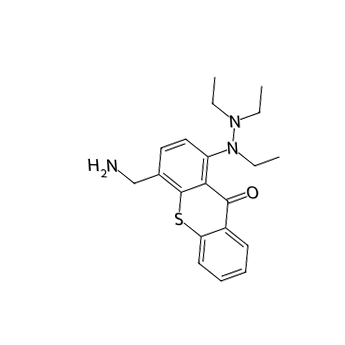 CCN(CC)N(CC)c1ccc(CN)c2sc3ccccc3c(=O)c12